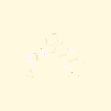 [2H]C(Nc1cc(Cl)c2ncc(C#N)c(NC3(C)COC3)c2c1)(c1ccc(F)cc1)c1cn(C2CC2)nn1